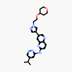 CC(C)c1cnnc(Nc2ccc3ncc(-c4cnn(CCOC5CCOCC5)c4)cc3n2)c1